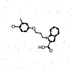 Cc1cc(OCCCn2c(C(=O)O)cc3ccccc32)ccc1Cl